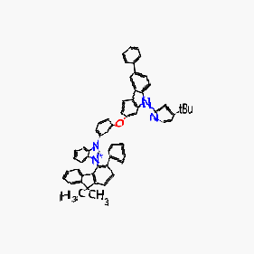 CC(C)(C)c1ccnc(-n2c3ccc(-c4ccccc4)cc3c3ccc(Oc4cccc(-n5c[n+](-c6c(-c7ccccc7)ccc7c6-c6ccccc6C7(C)C)c6ccccc65)c4)cc32)c1